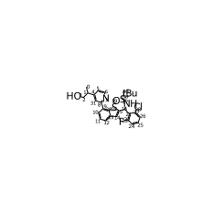 CC(CO)c1ccnc(-c2cccc3cc(C(N[S+]([O-])C(C)(C)C)c4c(F)cccc4Cl)sc23)c1